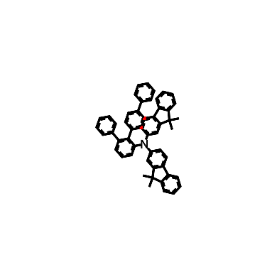 CC1(C)c2ccccc2-c2ccc(N(c3ccc4c(c3)C(C)(C)c3ccccc3-4)c3cccc(-c4ccccc4)c3-c3ccc(-c4ccccc4)cc3)cc21